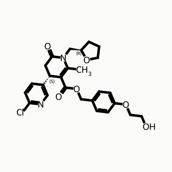 CC1=C(C(=O)OCc2ccc(OCCO)cc2)[C@H](c2ccc(Cl)nc2)CC(=O)N1C[C@H]1CCCO1